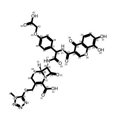 Cn1nnnc1SCC1=C(C(=O)O)N2C(=O)[C@@H](NC(=O)C(NC(=O)c3coc4c(O)c(O)ccc4c3=O)c3ccc(OCC(=O)O)cc3)[C@H]2SC1